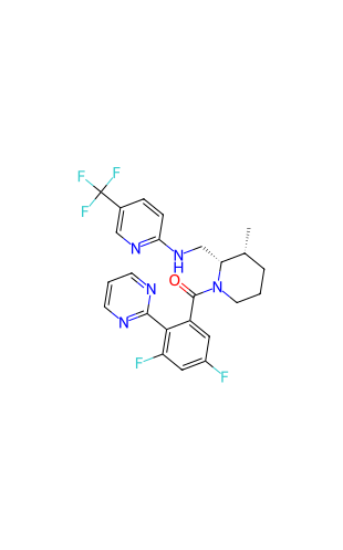 C[C@@H]1CCCN(C(=O)c2cc(F)cc(F)c2-c2ncccn2)[C@@H]1CNc1ccc(C(F)(F)F)cn1